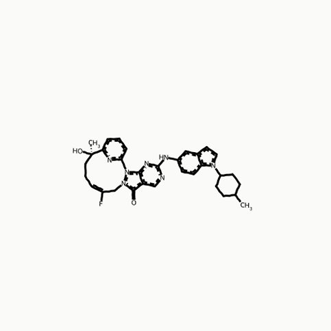 CC1CCC(n2ccc3cc(Nc4ncc5c(=O)n6n(c5n4)-c4cccc(n4)[C@](C)(O)CC/C=C(/F)C6)ccc32)CC1